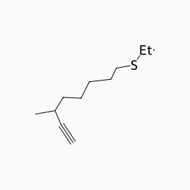 C#CC(C)CCCCCS[CH]C